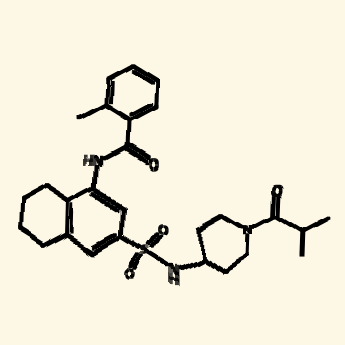 Cc1ccccc1C(=O)Nc1cc(S(=O)(=O)NC2CCN(C(=O)C(C)C)CC2)cc2c1CCCC2